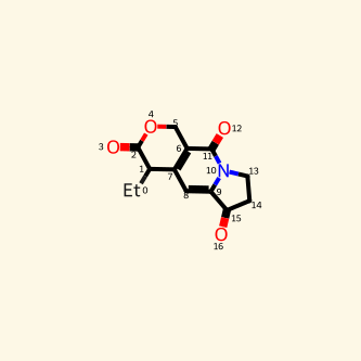 CCC1C(=O)OCc2c1cc1n(c2=O)CCC1=O